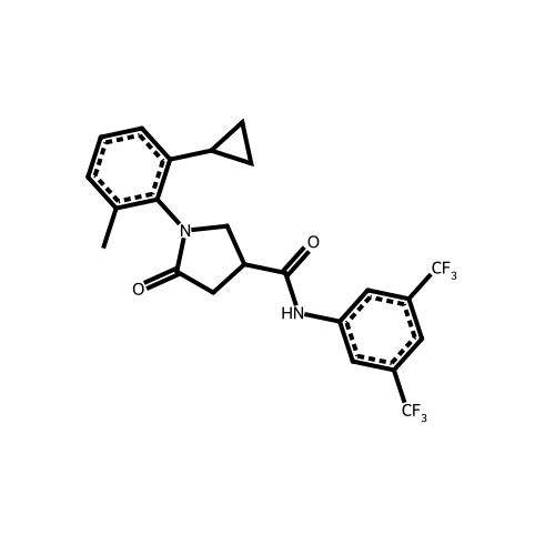 Cc1cccc(C2CC2)c1N1CC(C(=O)Nc2cc(C(F)(F)F)cc(C(F)(F)F)c2)CC1=O